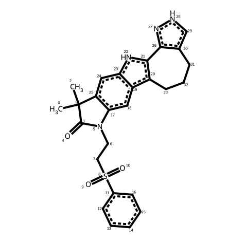 CC1(C)C(=O)N(CCS(=O)(=O)c2ccccc2)c2cc3c4c([nH]c3cc21)-c1n[nH]cc1CCC4